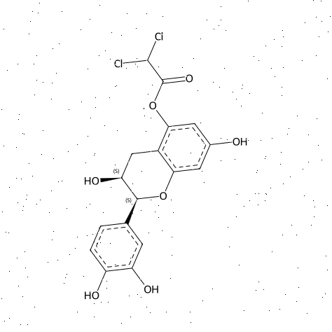 O=C(Oc1cc(O)cc2c1C[C@H](O)[C@H](c1ccc(O)c(O)c1)O2)C(Cl)Cl